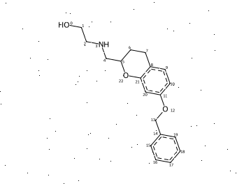 OCCNCC1CCc2ccc(OCc3ccccc3)cc2O1